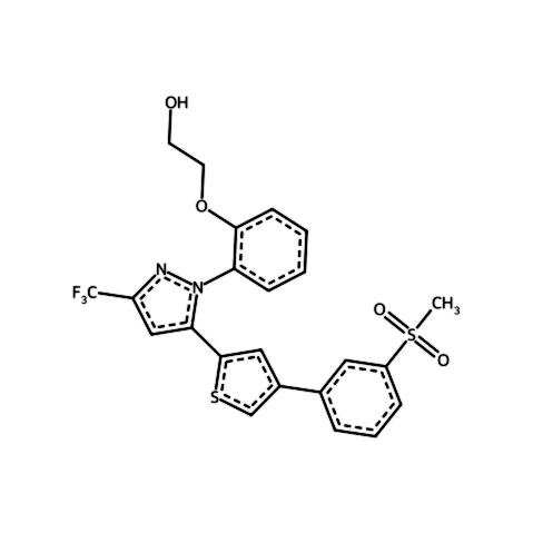 CS(=O)(=O)c1cccc(-c2csc(-c3cc(C(F)(F)F)nn3-c3ccccc3OCCO)c2)c1